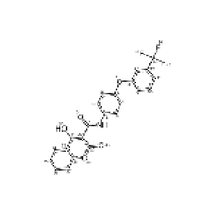 O=C(Nc1ccc(Oc2cccc(C(F)(F)F)c2)cc1)c1c(O)c2ccccc2oc1=O